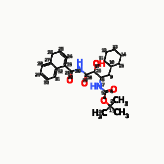 CC(C)(C)OC(=O)NC(CC1CCCCC1)C(O)C(=O)NC(=O)C1=C=CCc2ccccc21